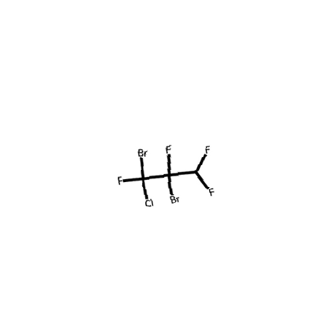 FC(F)C(F)(Br)C(F)(Cl)Br